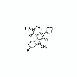 CN(C)C(=O)c1nn(-c2ccncc2)c(=O)c2c1c1ccc(F)cc1n2C